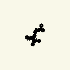 CC1(C)c2ccc(-c3ccc4c(c3)c3cc5c(cc3n4-c3nc(-c4ccccc4)cc(-c4ccccc4)n3)oc3ccccc35)cc2-c2cc3c4ccccc4n(-c4ccccc4)c3cc21